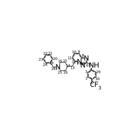 FC(F)(F)c1ccc(Nc2nc3cccc(CC4CCN(Cc5ccccc5)CC4)n3n2)cc1